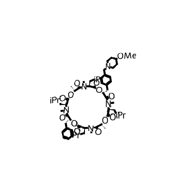 COC1CCN(Cc2ccc(C[C@H]3OC(=O)[C@H](CC(C)C)N(C)C(=O)[C@@H](C)OC(=O)[C@H](CC(C)C)N(C)C(=O)[C@@H](Cc4ccccc4)OC(=O)[C@H](CC(C)C)N(C)C(=O)[C@@H](C)OC(=O)[C@H](CC(C)C)N(C)C3=O)cc2)CC1